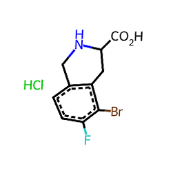 Cl.O=C(O)C1Cc2c(ccc(F)c2Br)CN1